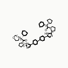 O=C([C@@H](c1ccccc1)N1CCCC1)N1CCC[C@H]1c1ncc(-c2ccc(-c3ccc(-c4cnc([C@@H]5CCCN5C(=O)[C@@H](c5ccccc5)N5CCOCC5)[nH]4)cc3)cc2)[nH]1